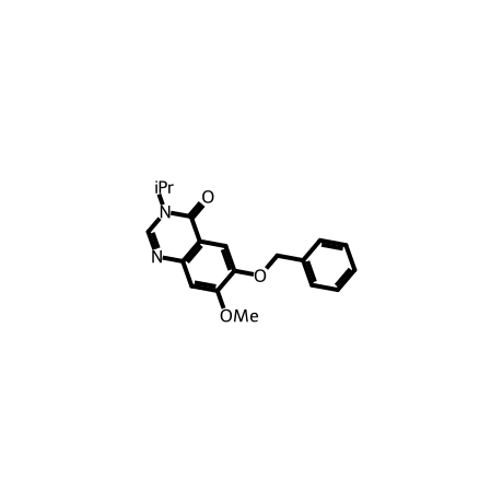 COc1cc2ncn(C(C)C)c(=O)c2cc1OCc1ccccc1